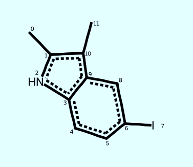 Cc1[nH]c2ccc(I)cc2c1C